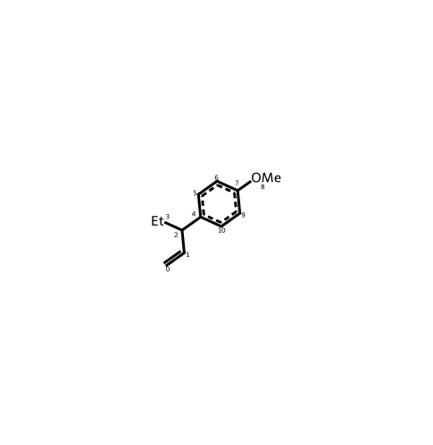 C=CC(CC)c1ccc(OC)cc1